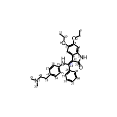 CCOc1cc2c(cc1OCC)/C(=C(\Nc1ccc(CCN(C)C)cc1)c1ccccc1)C(=O)N2